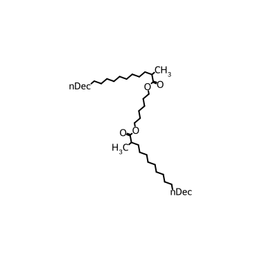 CCCCCCCCCCCCCCCCCCCC(C)C(=O)OCCCCCCOC(=O)C(C)CCCCCCCCCCCCCCCCCCC